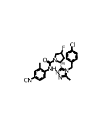 [C-]#[N+]c1ccc(NC(=O)N2CC(F)C[C@@H]2c2nnc(C)n2Cc2ccc(Cl)cc2)c(C)c1